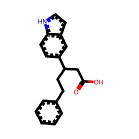 O=C(O)CC(CCc1ccccc1)c1ccc2[nH]ccc2c1